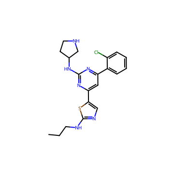 CCCNc1ncc(-c2cc(-c3ccccc3Cl)nc(NC3CCNC3)n2)s1